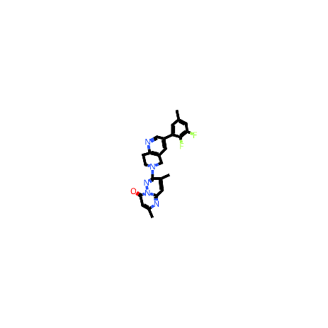 Cc1cc(F)c(F)c(-c2cnc3c(c2)CN(c2nn4c(=O)cc(C)nc4cc2C)CC3)c1